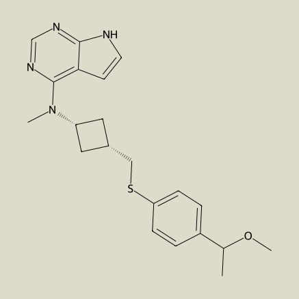 COC(C)c1ccc(SC[C@H]2C[C@@H](N(C)c3ncnc4[nH]ccc34)C2)cc1